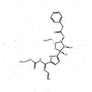 CCCCCOC(=O)N/C(=N/C=N)c1ccc([C@]2(C#N)O[C@H](CO)[C@@H](OC(=O)Cc3ccccc3)[C@H]2O)[nH]1